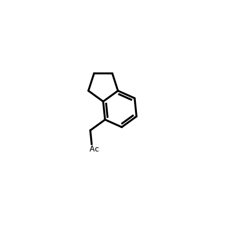 CC(=O)Cc1cccc2c1CCC2